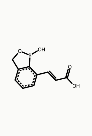 O=C(O)C=Cc1cccc2c1B(O)OC2